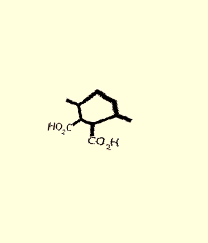 CC1CCC(C)C(C(=O)O)C1C(=O)O